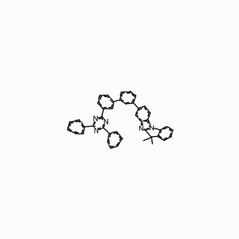 CC1(C)c2ccccc2-n2c1nc1cc(-c3cccc(-c4cccc(-c5nc(-c6ccccc6)nc(-c6ccccc6)n5)c4)c3)ccc12